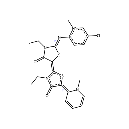 CCN1C(=O)/C(=c2/s/c(=C3/C=CC=CN3C)c(=O)n2CC)S/C1=N\c1ccc(Cl)c[n+]1C